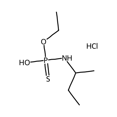 CCOP(O)(=S)NC(C)CC.Cl